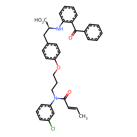 C/C=C/C(=O)N(CCCOc1ccc(C[C@H](Nc2ccccc2C(=O)c2ccccc2)C(=O)O)cc1)c1cccc(Cl)c1